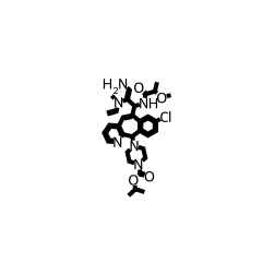 C=CN(C)/C(=C\N)C(NC(=O)C(C)OC)C1=Cc2cccnc2C(N2CCN(C(=O)OC(C)C)CC2)c2ccc(Cl)cc21